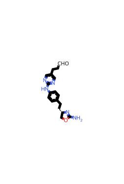 NC1=N[C@@H](CCc2ccc(Nc3ncc(CCC=O)cn3)cc2)CO1